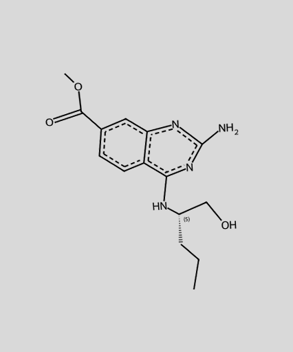 CCC[C@@H](CO)Nc1nc(N)nc2cc(C(=O)OC)ccc12